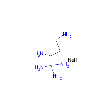 NCCC(N)C(N)(N)N.[NaH]